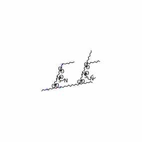 CCC/C=C/CCC(CC/C=C/CCCCCCCCCC(CCCCCCC)OC(=O)CCCN(CCCC(=O)OC(CCCCCCC)CCCCCCC)C(=O)SCCCN(CC)CC)OC(=O)CCCN(CCCC(=O)OC/C=C\CCCCCC)C(=O)SCCN(C)C